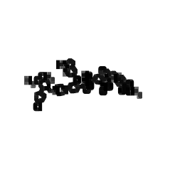 CC1(C)CCC(CN2CCN(c3ccc(C(=O)NS(=O)(=O)c4cc5c(c([N+](=O)[O-])c4)N[C@H](CN4CCN(S(C)(=O)=O)CC4)CO5)c(Oc4cnc5[nH]ccc5c4)c3)CC2)=C(c2ccc(Cl)cc2)C1